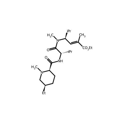 CCOC(=O)/C(C)=C/[C@H](C(C)C)N(C)C(=O)[C@@H](NC(=O)[C@H]1CC[C@@H](CC)CN1C)C(C)C